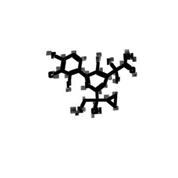 NC[C@](O)(c1cc(C(F)(F)C(N)=O)c(F)c(-c2ccc(F)c(Cl)c2F)n1)C1CC1